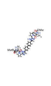 COC(=O)N[C@](C)(C(=O)N1CCCC1c1ncc(-c2ccc(-c3ccc(-c4cnc([C@@H]5CCCN5C(=O)[C@@](C)(NC(=O)OC)C(C)C)[nH]4)cc3)cc2)[nH]1)C(C)C